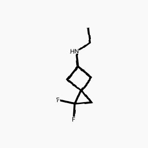 CCNC1CC2(C1)CC2(F)F